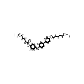 CCCCCCOc1ccc(-c2ccc(Oc3ccc(OC(=O)CCCCC)cc3)cc2)nc1